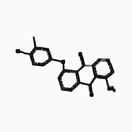 Cc1cc(Oc2cccc3c2C(=O)c2cccc(N)c2C3=O)ccc1Cl